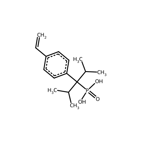 C=Cc1ccc(C(C(C)C)(C(C)C)P(=O)(O)O)cc1